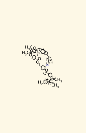 C=CC(=O)OC(C)(C)CC(C)(C)Oc1ccc(C(=O)OCCc2ccc(OC(=O)c3ccc(OC(C)(C)CC(C)(C)OC(=O)C=C)cc3)c(/C=N/Nc3nc(-c4ccc5ccccc5c4)cs3)c2)cc1